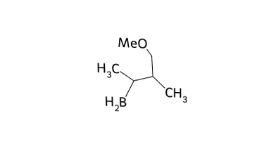 BC(C)C(C)COC